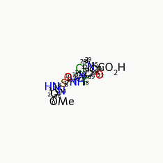 COc1ccc2[nH]c(SCC(=O)NC3CCN(c4c(F)cc5c(=O)c(C(=O)O)cn(C6CC6)c5c4Cl)C3)nc2c1